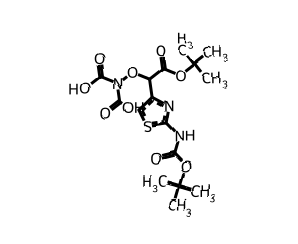 CC(C)(C)OC(=O)Nc1nc(C(ON(C(=O)O)C(=O)O)C(=O)OC(C)(C)C)cs1